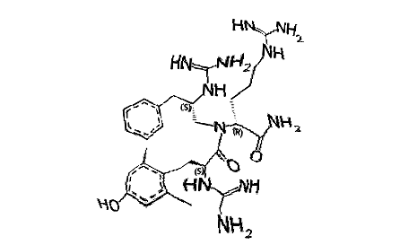 Cc1cc(O)cc(C)c1C[C@H](NC(=N)N)C(=O)N(C[C@H](Cc1ccccc1)NC(=N)N)[C@H](CCCNC(=N)N)C(N)=O